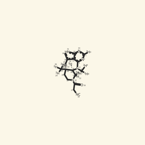 [2H]c1nc(N(C([2H])([2H])[2H])[C@@]2([2H])C([2H])([2H])N(C(=O)C[N+]#[C-])CC[C@@]2([2H])C([2H])([2H])[2H])c2c([2H])c[nH]c2n1